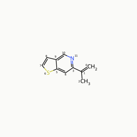 C=C(C)c1cc2sccc2cn1